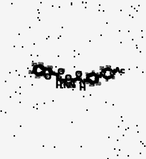 CC(=O)N1CCN(c2ccc(NC(=O)c3nnc(NC(=O)c4cc5ccccc5o4)o3)cc2)CC1